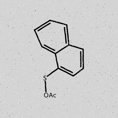 CC(=O)OSc1cccc2ccccc12